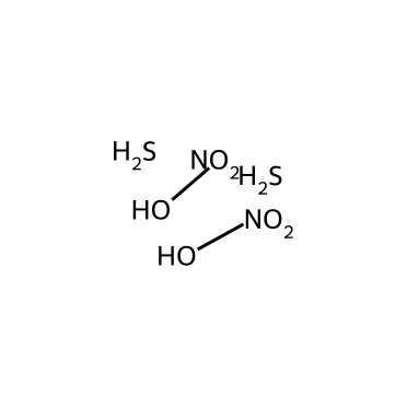 O=[N+]([O-])O.O=[N+]([O-])O.S.S